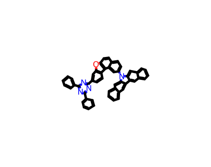 c1ccc(-c2nc(-c3ccccc3)nc(-c3ccc4c(c3)oc3ccc5ccc(-n6c7cc8ccccc8cc7c7cc8ccccc8cc76)cc5c34)n2)cc1